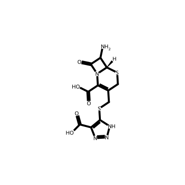 NC1C(=O)N2C(C(=O)O)=C(CSc3[nH]nnc3C(=O)O)CS[C@@H]12